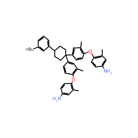 CCCCc1cccc(C2CCC(c3ccc(Oc4ccc(N)cc4C)c(C)c3)(c3ccc(Oc4ccc(N)cc4C)c(C)c3)CC2)c1